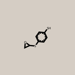 Sc1ccc(SC2CO2)cc1